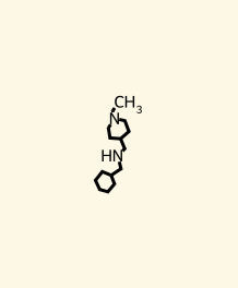 CCN1CCC(CNCC2CCCCC2)CC1